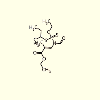 CCOC(=O)C(C)=CN(C=O)P(=S)(OCC)SC(C)CC